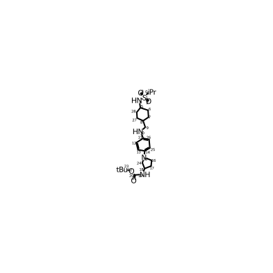 CC(C)S(=O)(=O)NC1CCC(CNc2ccc(N3CCC(NC(=O)OC(C)(C)C)C3)cc2)CC1